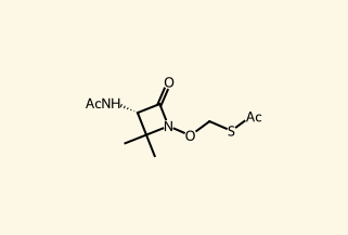 CC(=O)N[C@@H]1C(=O)N(OCSC(C)=O)C1(C)C